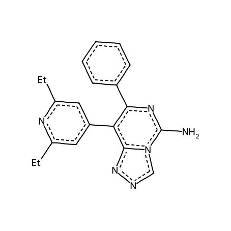 CCc1cc(-c2c(-c3ccccc3)nc(N)n3cnnc23)cc(CC)n1